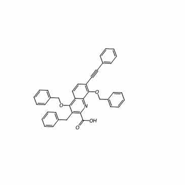 O=C(O)c1nc2c(OCc3ccccc3)c(C#Cc3ccccc3)ccc2c(OCc2ccccc2)c1Cc1ccccc1